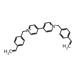 C=Cc1ccc(C[n+]2ccc(-c3cc[n+](Cc4ccc(C=C)cc4)cc3)cc2)cc1